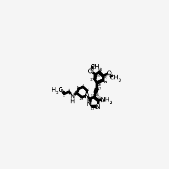 C=CCNC1CCCN(c2ncnc(N)c2C#Cc2cc(OC)cc(OC)c2)C1